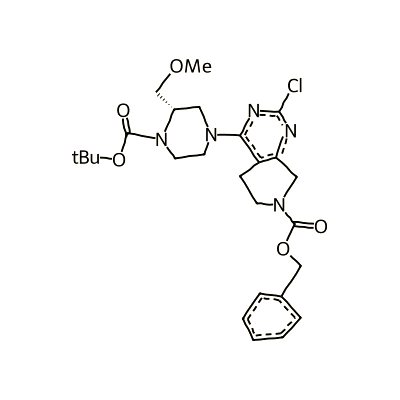 COC[C@@H]1CN(c2nc(Cl)nc3c2CCN(C(=O)OCc2ccccc2)C3)CCN1C(=O)OC(C)(C)C